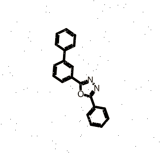 c1ccc(-c2cccc(-c3nnc(-c4ccccc4)o3)c2)cc1